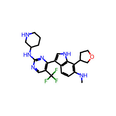 CNc1ccc2c(-c3nc(NC4CCCNC4)ncc3C(F)(F)F)c[nH]c2c1C1CCOC1